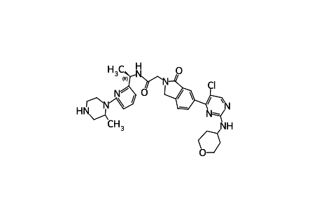 CC1CNCCN1c1cccc([C@@H](C)NC(=O)CN2Cc3ccc(-c4nc(NC5CCOCC5)ncc4Cl)cc3C2=O)n1